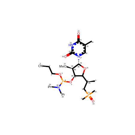 [C-]#[N+]CCOP(O[C@@H]1C([C@@H](C)CP(C)(C)=O)O[C@@H](n2cc(C)c(=O)[nH]c2=O)[C@@H]1OC)N(C(C)C)C(C)C